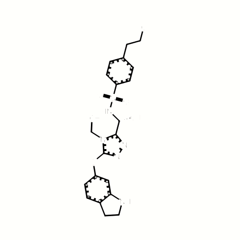 CCCc1ccc(S(=O)(=O)N[C@H](C)c2nnc(Oc3ccc4c(c3)NCC4)n2CC)cc1